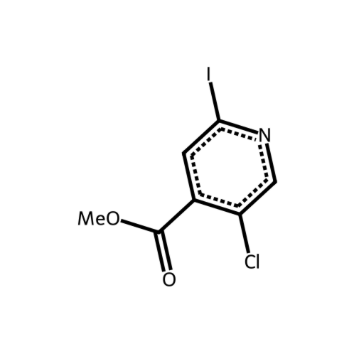 COC(=O)c1cc(I)ncc1Cl